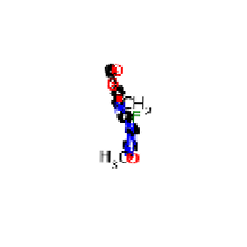 C=C1c2ccc(OC[C@@H]3CCCO3)cc2CCN1c1ccc(N2CCC(N3CCN(C(C)=O)CC3)C2)c(F)c1